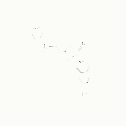 COc1ccc2cc(C(C#N)OC(=O)OCC3OC3c3ccccc3)ccc2c1